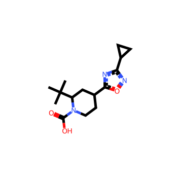 CC(C)(C)C1CC(c2nc(C3CC3)no2)CCN1C(=O)O